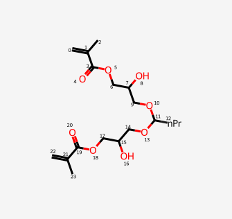 C=C(C)C(=O)OCC(O)COC(CCC)OCC(O)COC(=O)C(=C)C